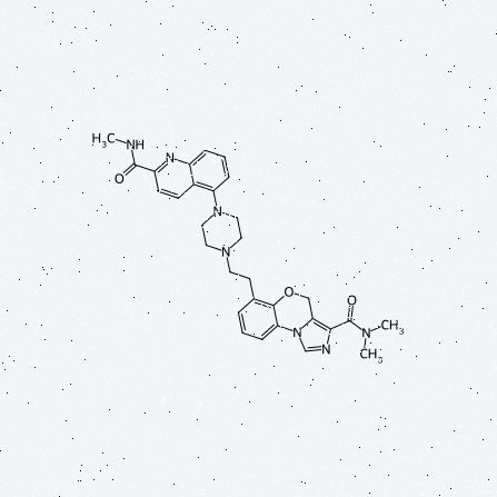 CNC(=O)c1ccc2c(N3CCN(CCc4cccc5c4OCc4c(C(=O)N(C)C)ncn4-5)CC3)cccc2n1